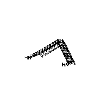 C.C.C.C.C.C.C.C.C.C.C.C.C.C.C.C.C.C.C.C.C.C.C.C.C.C.C.C.N=C=O.N=C=O